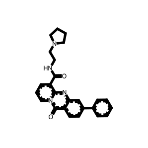 O=C(NCCN1CCCC1)c1cccn2c(=O)c3ccc(-c4ccccc4)cc3nc12